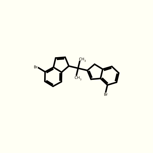 CC(C)(C1=Cc2c(Br)cccc2C1)C1C=Cc2c(Br)cccc21